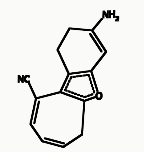 N#CC1=CC=CCc2oc3c(c21)CCC(N)=C3